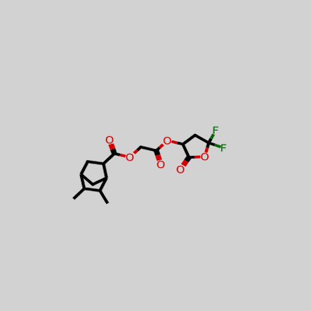 CC1C2CC(C(=O)OCC(=O)OC3CC(F)(F)OC3=O)C(C2)C1C